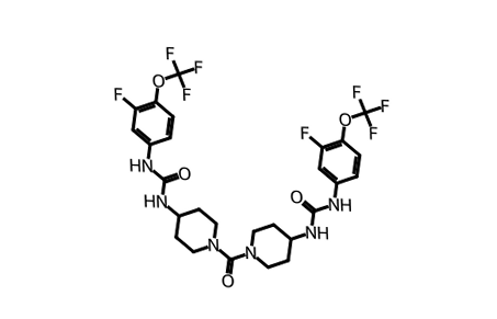 O=C(Nc1ccc(OC(F)(F)F)c(F)c1)NC1CCN(C(=O)N2CCC(NC(=O)Nc3ccc(OC(F)(F)F)c(F)c3)CC2)CC1